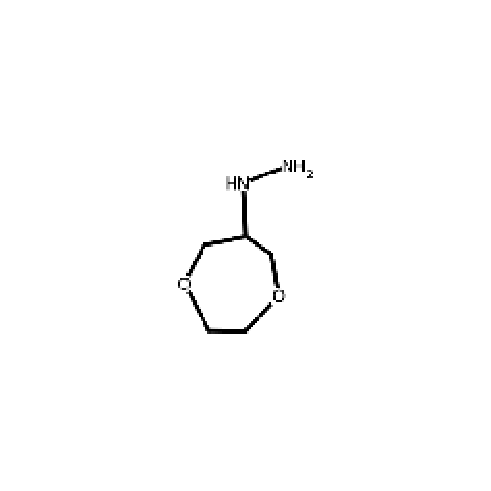 NNC1COCCOC1